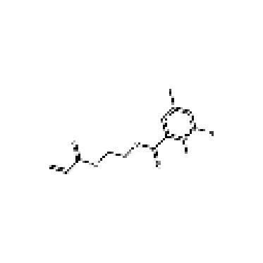 C=CC(=O)OCCOC(=O)c1cc(C)cc(I)c1I